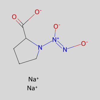 O=C([O-])C1CCCN1[N+]([O-])=N[O-].[Na+].[Na+]